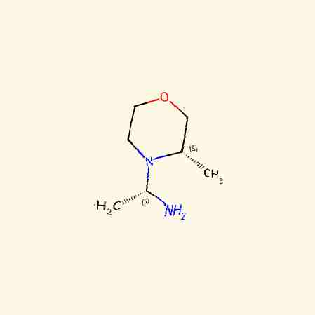 [CH2][C@@H](N)N1CCOC[C@@H]1C